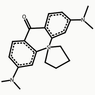 CN(C)c1ccc2c(c1)[Si]1(CCCC1)c1cc(N(C)C)ccc1C2=O